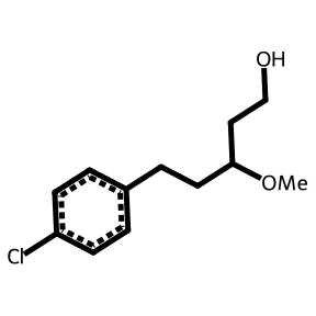 COC(CCO)CCc1ccc(Cl)cc1